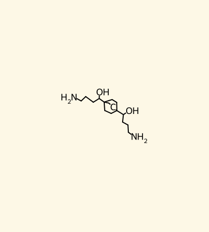 NCCCC(O)C12CCC(C(O)CCCN)(CC1)CC2